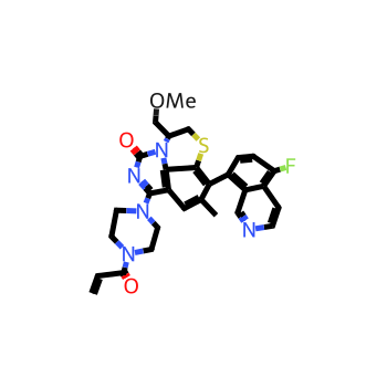 C=CC(=O)N1CCN(c2nc(=O)n3c4c(c(-c5ccc(F)c6ccncc56)c(C)cc24)SCC3COC)CC1